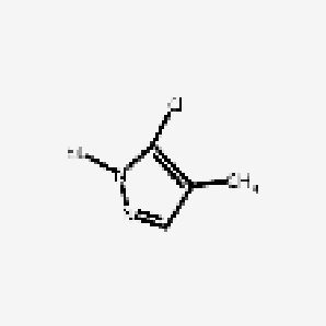 CCn1ncc(C)c1Cl